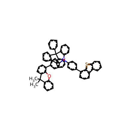 CC1(C)c2ccccc2Oc2c(-c3ccc(N(c4ccc(-c5cccc6c5sc5ccccc56)cc4)c4ccccc4C4(c5ccccc5)c5ccccc5-c5ccccc54)cc3)cccc21